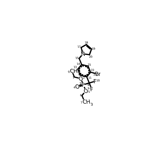 CCOP(=O)(OCC)C(F)(F)c1ccc(CN2CC=CC2)cc1Br